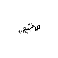 CN(CC=CC#CC(C)(C)C(=O)O)Cc1cccc2ccccc12